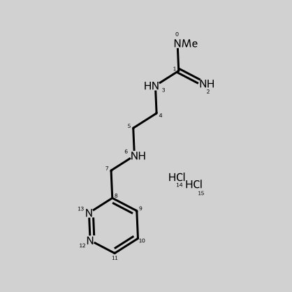 CNC(=N)NCCNCc1cccnn1.Cl.Cl